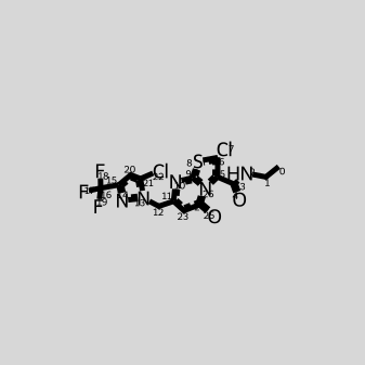 CCNC(=O)c1c(Cl)sc2nc(Cn3nc(C(F)(F)F)cc3Cl)cc(=O)n12